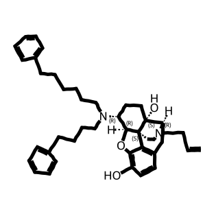 C=CCN1CC[C@]23c4c5ccc(O)c4O[C@H]2[C@H](N(CCCCCCc2ccccc2)CCCCc2ccccc2)CC[C@@]3(O)[C@H]1C5